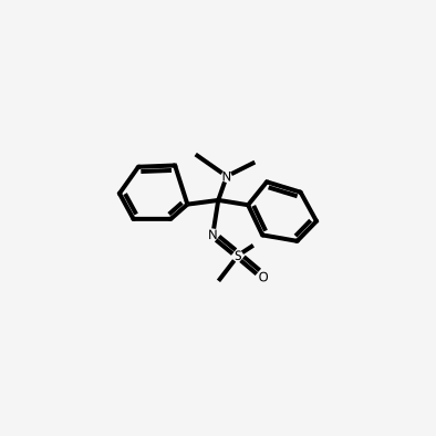 CN(C)C(N=S(C)(C)=O)(c1ccccc1)c1ccccc1